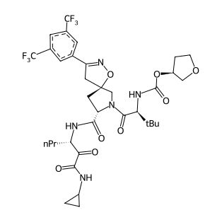 CCC[C@H](NC(=O)[C@@H]1C[C@]2(CC(c3cc(C(F)(F)F)cc(C(F)(F)F)c3)=NO2)CN1C(=O)[C@@H](NC(=O)O[C@H]1CCOC1)C(C)(C)C)C(=O)C(=O)NC1CC1